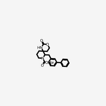 COC(=O)N1CCCC2(CCOC(=O)N2)C1Cc1cccc(-c2ccccc2)c1